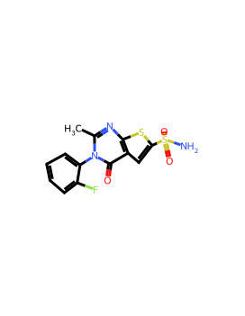 Cc1nc2sc(S(N)(=O)=O)cc2c(=O)n1-c1ccccc1F